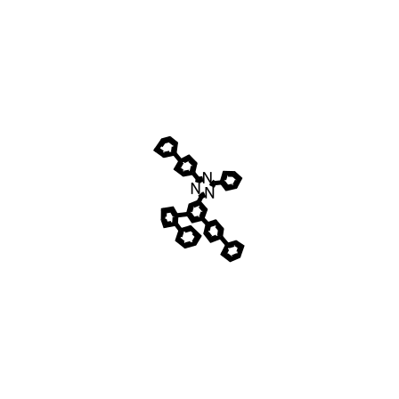 c1ccc(-c2ccc(-c3cc(-c4nc(-c5ccccc5)nc(-c5ccc(-c6ccccc6)cc5)n4)cc(-c4ccccc4-c4ccccc4)c3)cc2)cc1